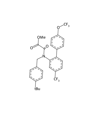 COC(=O)C(=O)N(Cc1ccc(C(C)(C)C)cc1)c1cc(C(F)(F)F)ccc1-c1ccc(OC(F)(F)F)cc1